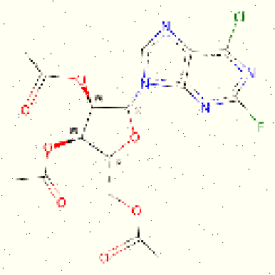 CC(=O)OC[C@H]1O[C@@H](n2cnc3c(Cl)nc(F)nc32)[C@H](OC(C)=O)[C@@H]1OC(C)=O